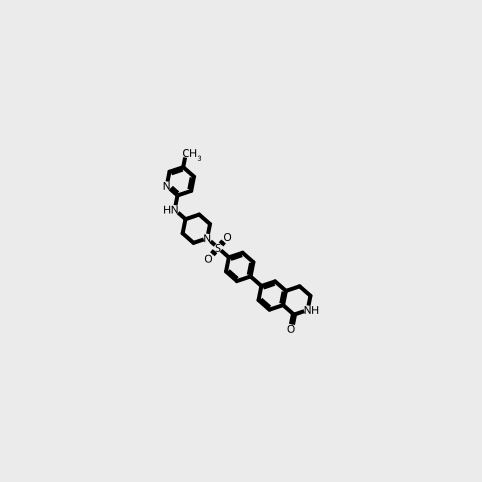 Cc1ccc(NC2CCN(S(=O)(=O)c3ccc(-c4ccc5c(c4)CCNC5=O)cc3)CC2)nc1